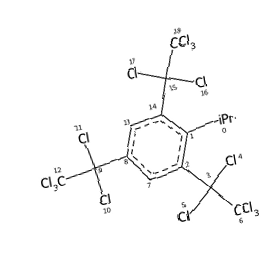 C[C](C)c1c(C(Cl)(Cl)C(Cl)(Cl)Cl)cc(C(Cl)(Cl)C(Cl)(Cl)Cl)cc1C(Cl)(Cl)C(Cl)(Cl)Cl